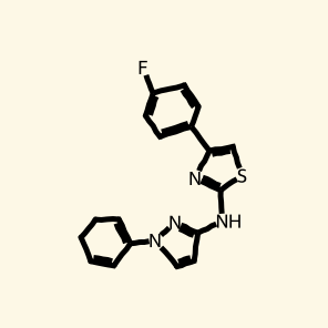 Fc1ccc(-c2csc(Nc3ccn(C4=CCCC=C4)n3)n2)cc1